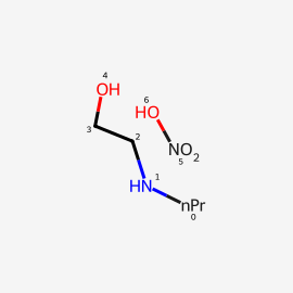 CCCNCCO.O=[N+]([O-])O